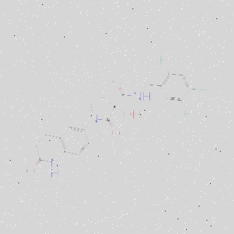 O=C1CCc2cc(N3CCC(O)(C(=O)NCc4cc(F)c(F)cc4F)C3=O)ccc2N1